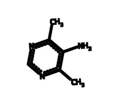 Cc1ncnc(C)c1N